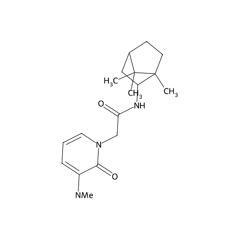 CNc1cccn(CC(=O)NC2CC3CCC2(C)C3(C)C)c1=O